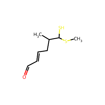 CSC(S)C(C)CC=CC=O